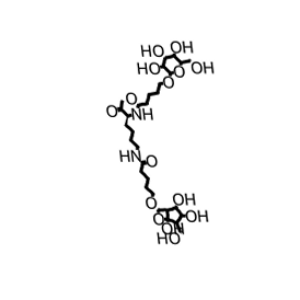 CC(=O)[C@H](CCCCNC(=O)CCCCOC1OC2(O)C(CO)C(O)C(O)C12)NC(=O)CCCCOC1OC(CO)C(O)C(O)C1O